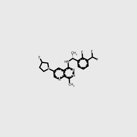 Cc1nnc(N[C@H](C)c2cccc(C(F)F)c2F)c2cc(N3CCC(F)C3)cnc12